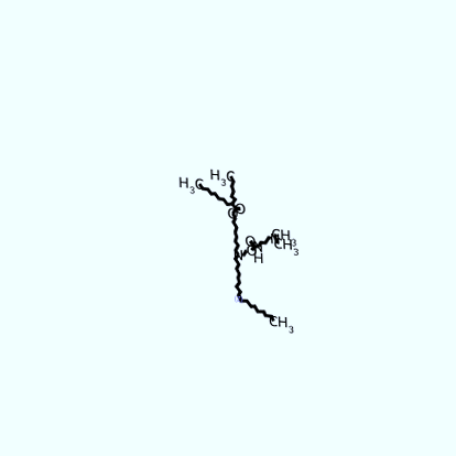 CCCCCCCC/C=C\CCCCCCCCN(CCCCCCCCOC(=O)C(CCCCCC)CCCCCCCC)CCOC(=O)NCCCN(C)C